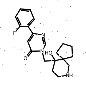 O=c1cc(-c2ccccc2F)ncn1CC1(O)CCNCC12CCCC2